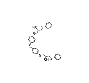 SC(CSc1ccccc1)CSc1ccc(Sc2ccc(SCC(S)CSc3ccccc3)cc2)cc1